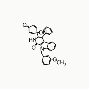 COc1cccc(Cn2c3ccccc3c3c(-c4ccccc4)c(C4(O)C=CC(=O)C=C4)[nH]c(=O)c32)c1